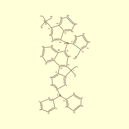 CC1(C)c2cc(N(c3ccccc3)c3ccccc3)ccc2-c2c1cc(N(c1ccccc1F)c1ccc([Si](C)(C)C)c3ccccc13)c1ccccc21